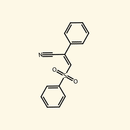 N#CC(=CS(=O)(=O)c1ccccc1)c1ccccc1